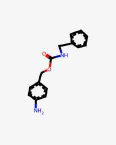 Nc1ccc(COC(=O)NCc2ccccc2)cc1